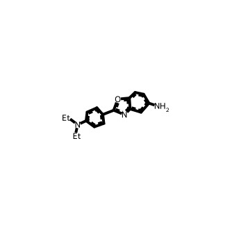 CCN(CC)c1ccc(-c2nc3cc(N)ccc3o2)cc1